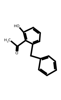 CC(=O)c1c(O)[c]ccc1Cc1ccccc1